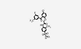 CCNS(=O)(=O)c1ccc(NC(=O)COc2ccc(Cl)cc2C(=O)c2cc(F)cc(C(F)(F)F)c2)c(C)c1